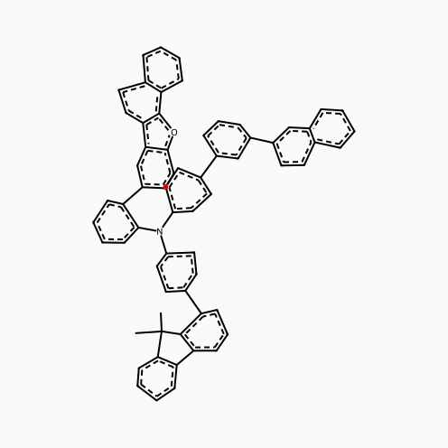 CC1(C)c2ccccc2-c2cccc(-c3ccc(N(c4ccc(-c5cccc(-c6ccc7ccccc7c6)c5)cc4)c4ccccc4-c4ccc5oc6c7ccccc7ccc6c5c4)cc3)c21